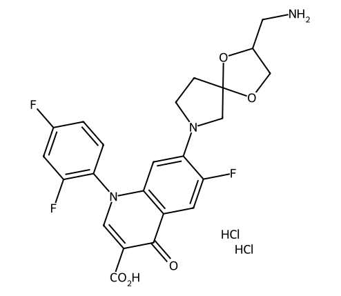 Cl.Cl.NCC1COC2(CCN(c3cc4c(cc3F)c(=O)c(C(=O)O)cn4-c3ccc(F)cc3F)C2)O1